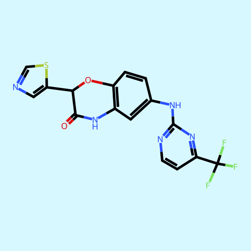 O=C1Nc2cc(Nc3nccc(C(F)(F)F)n3)ccc2OC1c1cncs1